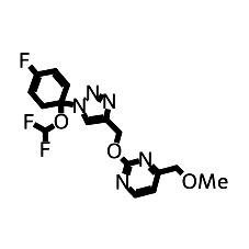 COCc1ccnc(OCc2cn(C3(OC(F)F)C=CC(F)=CC3)nn2)n1